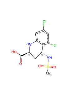 CS(=O)(=O)N[C@@H]1C[C@@H](C(=O)O)Nc2cc(Cl)cc(Cl)c21